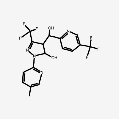 Cc1ccc(N2N=C(C(F)(F)F)C(C(O)c3ccc(C(F)(F)F)cn3)C2O)nc1